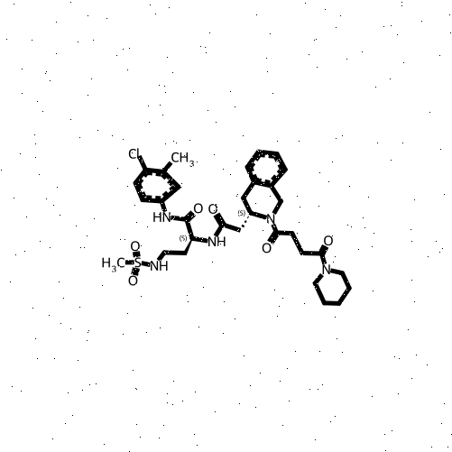 Cc1cc(NC(=O)[C@H](CCNS(C)(=O)=O)NC(=O)C[C@@H]2Cc3ccccc3CN2C(=O)CCC(=O)N2CCCCC2)ccc1Cl